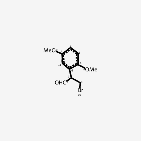 COc1ccc(OC)c(C(C=O)CBr)c1